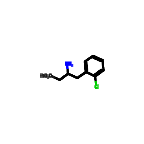 CCOC(=O)CC(N)Cc1ccccc1Cl